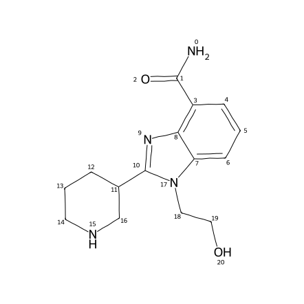 NC(=O)c1cccc2c1nc(C1CCCNC1)n2CCO